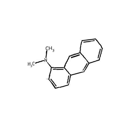 CN(C)c1[c]ccc2cc3ccccc3cc12